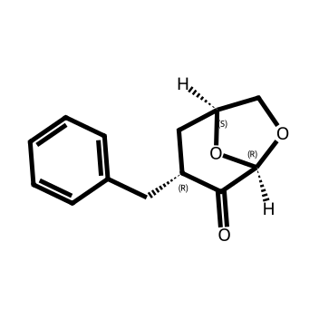 O=C1[C@H](Cc2ccccc2)C[C@H]2CO[C@@H]1O2